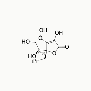 CC(C)C[C@]1([C@@H](O)CO)OC(=O)C(O)=C1OO